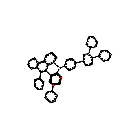 c1ccc(-c2ccc(N(c3ccc(-c4ccc(-c5ccccc5)c(-c5ccccc5)c4)cc3)c3cccc4c3c(-c3ccccc3)c(-c3ccccc3)c3ccccc34)cc2)cc1